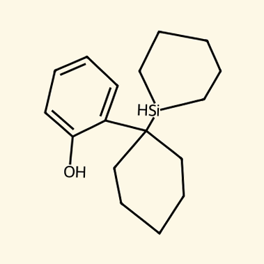 Oc1ccccc1C1([SiH]2CCCCC2)CCCCC1